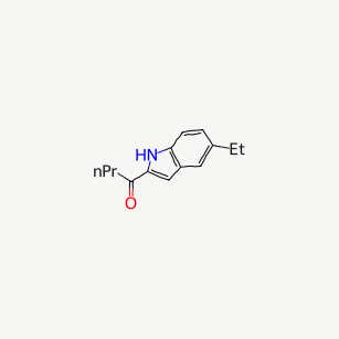 CCCC(=O)c1cc2cc(CC)ccc2[nH]1